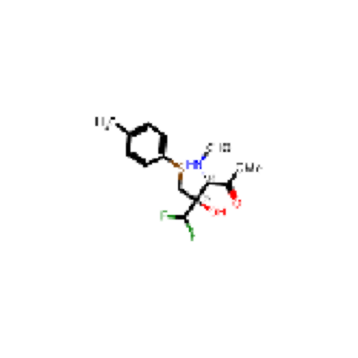 COC(=O)[C@@H](NC=O)[C@@](O)(CSc1ccc(C)cc1)C(F)F